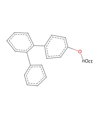 CCCCCCCCOc1ccc(-c2ccccc2-c2ccccc2)cc1